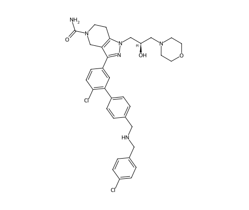 NC(=O)N1CCc2c(c(-c3ccc(Cl)c(-c4ccc(CNCc5ccc(Cl)cc5)cc4)c3)nn2C[C@H](O)CN2CCOCC2)C1